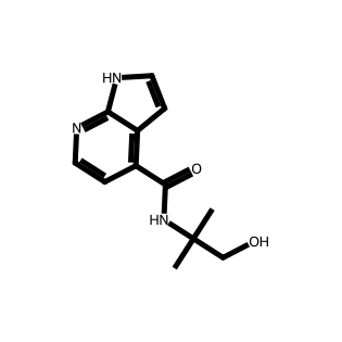 CC(C)(CO)NC(=O)c1ccnc2[nH]ccc12